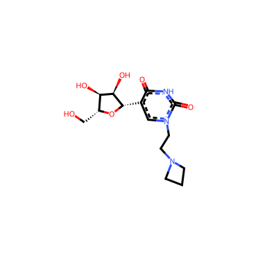 O=c1[nH]c(=O)n(CCN2CCC2)cc1[C@@H]1O[C@H](CO)[C@@H](O)[C@H]1O